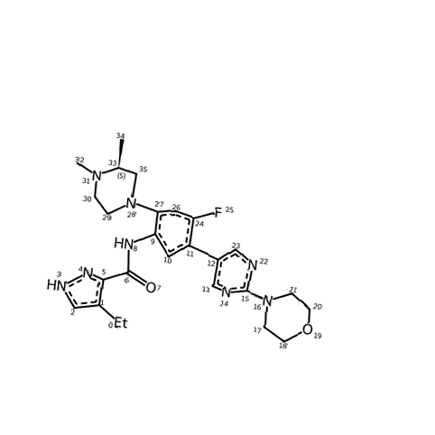 CCc1c[nH]nc1C(=O)Nc1cc(-c2cnc(N3CCOCC3)nc2)c(F)cc1N1CCN(C)[C@@H](C)C1